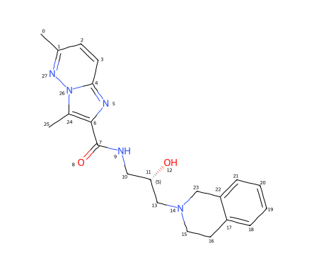 Cc1ccc2nc(C(=O)NC[C@H](O)CN3CCc4ccccc4C3)c(C)n2n1